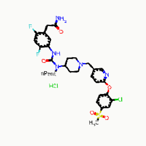 CCCCCN(C(=O)Nc1cc(CC(N)=O)c(F)cc1F)C1CCN(Cc2ccc(Oc3ccc(S(C)(=O)=O)cc3Cl)nc2)CC1.Cl